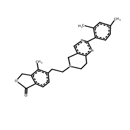 Cc1ccc(-c2ncc3c(n2)CCN(CCc2ccc4c(c2C)COC4=O)C3)c(C)c1